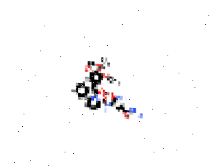 COc1cc([C@@H](C(=O)N2CCCC[C@H]2C(=O)N[C@@H](CCC(N)O)C(N)=O)C2CCCCC2)cc(OC)c1OC